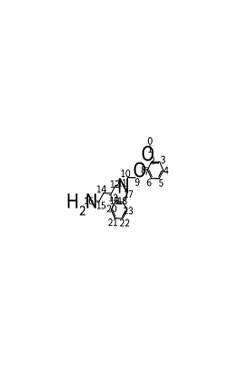 COc1ccccc1OCCN(CCCCN)Cc1ccccc1